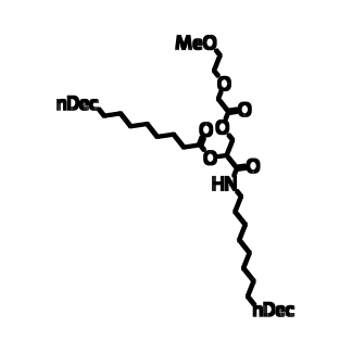 CCCCCCCCCCCCCCCCCCNC(=O)C(COC(=O)COCCOC)OC(=O)CCCCCCCCCCCCCCCCC